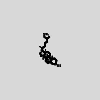 CC([CH2][SnH3])CCC[C@@H](C)[C@H]1CC[C@H]2[C@@H]3CC=C4C[C@@H](O)CC[C@]4(C)[C@H]3CC[C@]12C